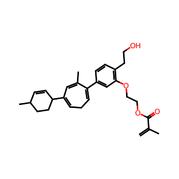 C=C(C)C(=O)OCCOc1cc(C2=CCC=C(C3C=CC(C)CC3)C=C2C)ccc1CCO